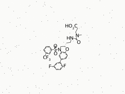 CN(CCC(=O)O)C(=O)NCC[C@H]1CN(S(=O)(=O)c2cccc(C(F)(F)F)c2)c2cc(-c3cc(F)ccc3F)ccc2O1